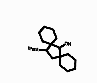 CCCC(C)C1CC2(CCCCC2)N(O)C12CCCCC2